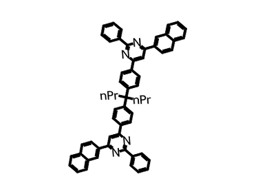 CCCC(CCC)(c1ccc(-c2cc(-c3ccc4ccccc4c3)nc(-c3ccccc3)n2)cc1)c1ccc(-c2cc(-c3ccc4ccccc4c3)nc(-c3ccccc3)n2)cc1